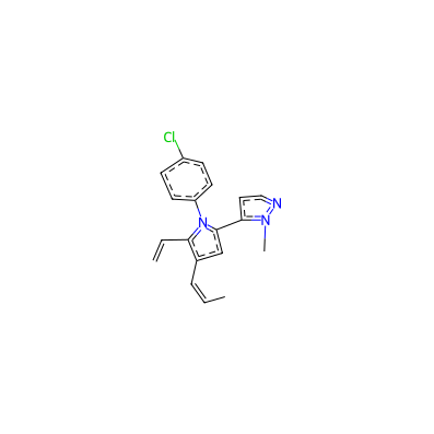 C=Cc1c(/C=C\C)cc(-c2ccnn2C)n1-c1ccc(Cl)cc1